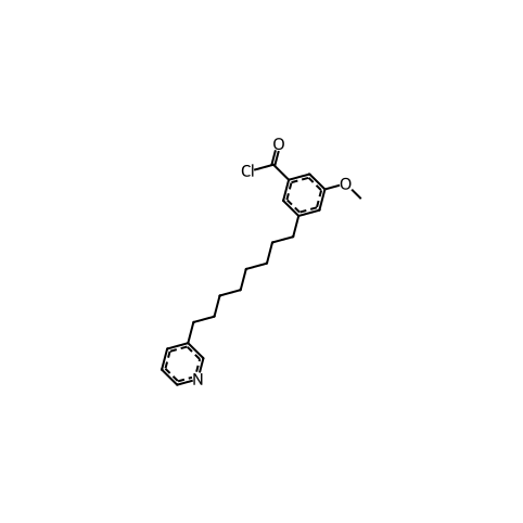 COc1cc(CCCCCCCCc2cccnc2)cc(C(=O)Cl)c1